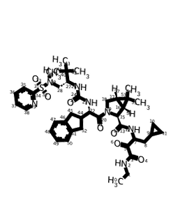 CCNC(=O)C(=O)C(CC1CC1)NC(=O)[C@@H]1[C@@H]2[C@H](CN1C(=O)[C@@H](NC(=O)N[C@H](CN(C)S(=O)(=O)c1ccccn1)C(C)(C)C)C1Cc3ccccc3C1)C2(C)C